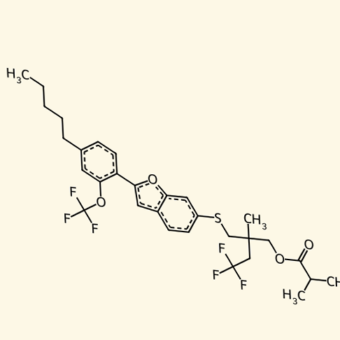 CCCCCc1ccc(-c2cc3ccc(SCC(C)(COC(=O)C(C)C)CC(F)(F)F)cc3o2)c(OC(F)(F)F)c1